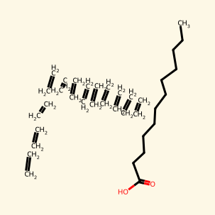 C=C.C=C.C=C.C=C.C=C.C=C.C=C.C=C.C=C.C=C.C=C.C=C.CCCCCCCCCCCC(=O)O